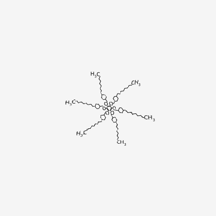 CCCCCCCCCC1CCC(COc2c(OCC3CCC(CCCCCCCCC)CC3)c(OCC3CCC(CCCCCCCCC)CC3)c(OCC3CCC(CCCCCCCCC)CC3)c(OCC3CCC(CCCCCCCCC)CC3)c2OCC2CCC(CCCCCCCCC)CC2)CC1